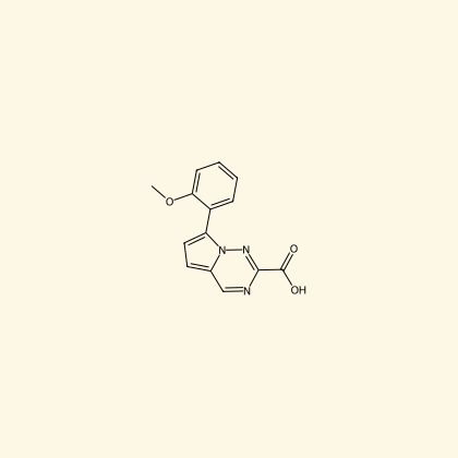 COc1ccccc1-c1ccc2cnc(C(=O)O)nn12